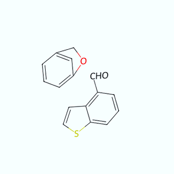 O=Cc1cccc2sccc12.c1cc2cc(c1)OC2